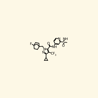 CS(=N)(=O)c1cc(NC(=O)c2c(C(F)(F)F)c(C3CC3)nn2CC23CCC(F)(CC2)C3)ccn1